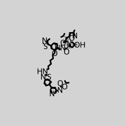 Cc1cc([C@H](C(=O)N2C[C@H](O)C[C@H]2C(=O)NCc2ccc(-c3scnc3C)cc2OCCCCCCNc2nc3ccc(-c4cncc(N(C)C(=O)OC(C)C)c4)cc3s2)C(C)C)on1